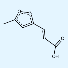 Cc1cc(C=CC(=O)O)no1